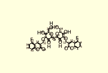 O=c1oc2cccc(F)c2cc1COC1[C@@H](O)C(CO)O[C@@H](S[C@@H]2OC(CO)[C@H](O)C(OCc3cc4c(F)cccc4oc3=O)[C@@H]2O)[C@@H]1O